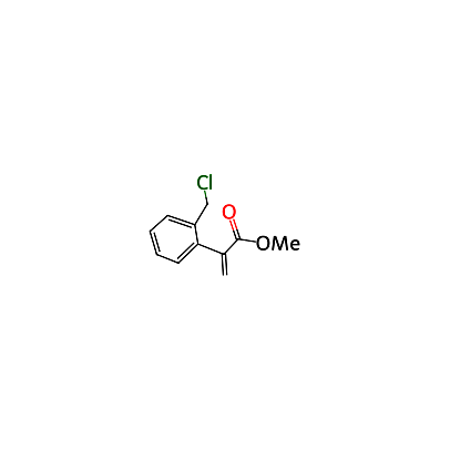 C=C(C(=O)OC)c1ccccc1CCl